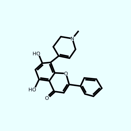 CN1CC=C(c2c(O)cc(O)c3c(=O)cc(-c4ccccc4)oc23)CC1